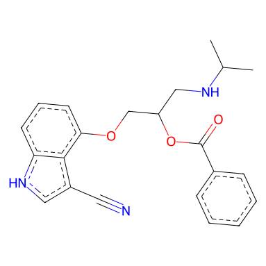 CC(C)NCC(COc1cccc2[nH]cc(C#N)c12)OC(=O)c1ccccc1